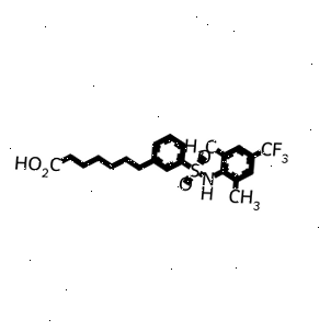 Cc1cc(C(F)(F)F)cc(C)c1NS(=O)(=O)c1cccc(CCCCCCC(=O)O)c1